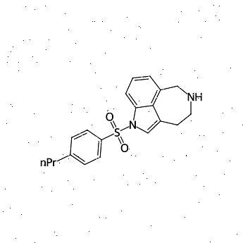 CCCc1ccc(S(=O)(=O)n2cc3c4c(cccc42)CNCC3)cc1